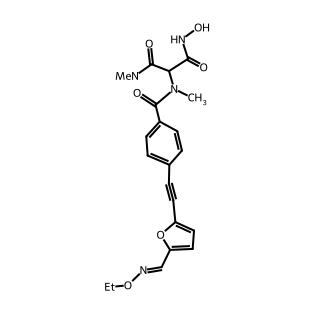 CCON=Cc1ccc(C#Cc2ccc(C(=O)N(C)C(C(=O)NC)C(=O)NO)cc2)o1